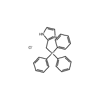 [Cl-].c1ccc([P+](Cc2ncc[nH]2)(c2ccccc2)c2ccccc2)cc1